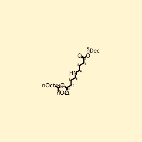 CCCCCCCCCCOC(=O)CCCNCCCC(=O)OC(CCCCCCCC)CCCCCCCC